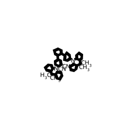 CC1(C)c2ccccc2N(c2ccc(-c3ccccc3C3=CCC(C#N)(N4c5ccccc5C(C)(C)c5ccccc54)C(C#N)=C3)cc2)c2ccccc21